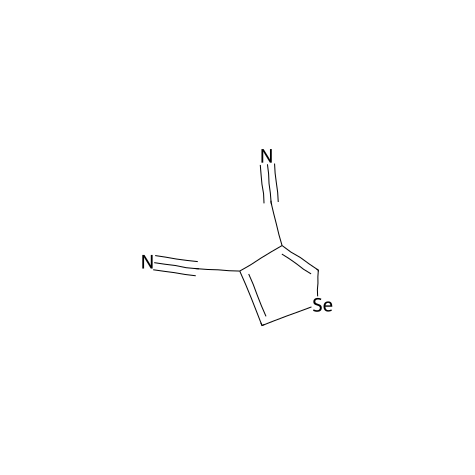 N#Cc1c[se]cc1C#N